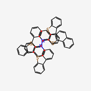 c1ccc(N(c2cccc3c2sc2ccccc23)c2cccc3c2sc2ccccc23)c(-c2ccccc2N(c2cccc3c2sc2ccccc23)c2cccc3c2sc2c4ccccc4ccc32)c1